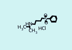 CC(C)NCCCCS(=O)(=O)c1ccccc1.Cl